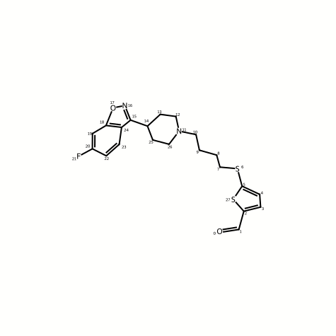 O=Cc1ccc(SCCCCN2CCC(c3noc4cc(F)ccc34)CC2)s1